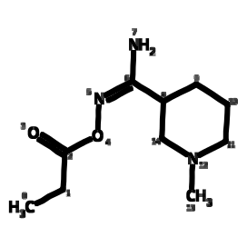 CCC(=O)O/N=C(/N)C1CCCN(C)C1